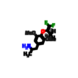 [2H]C([2H])([2H])C(Oc1c(OC)cc(CC(C)N)cc1OC)=C(F)F